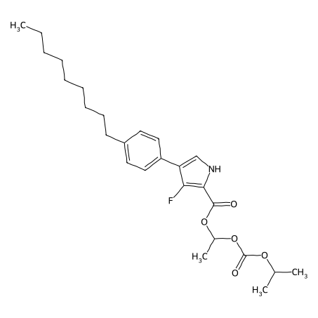 CCCCCCCCCc1ccc(-c2c[nH]c(C(=O)OC(C)OC(=O)OC(C)C)c2F)cc1